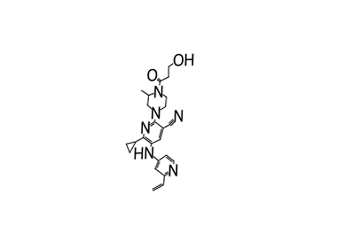 C=Cc1cc(Nc2cc(C#N)c(N3CCN(C(=O)CCO)C(C)C3)nc2C2CC2)ccn1